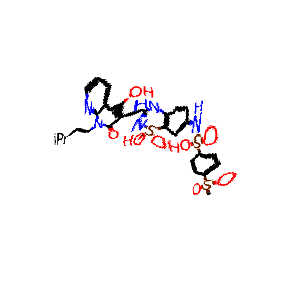 CC(C)CCn1c(=O)c(C2=NS(O)(O)c3cc(NS(=O)(=O)c4ccc(S(C)(=O)=O)cc4)ccc3N2)c(O)c2cccnc21